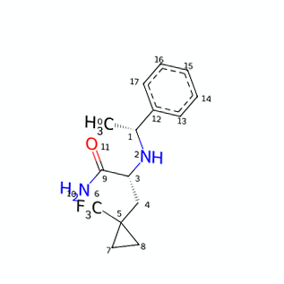 C[C@@H](N[C@H](CC1(C(F)(F)F)CC1)C(N)=O)c1ccccc1